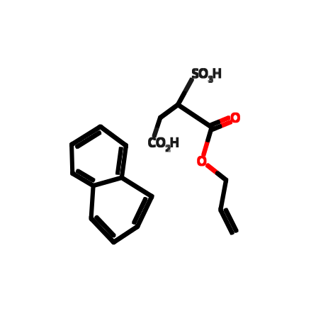 C=CCOC(=O)C(CC(=O)O)S(=O)(=O)O.c1ccc2ccccc2c1